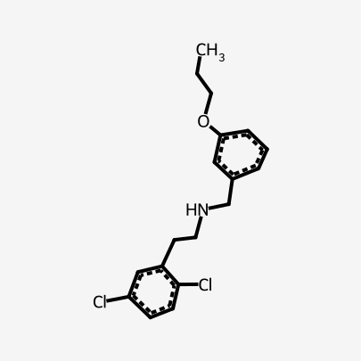 CCCOc1cccc(CNCCc2cc(Cl)ccc2Cl)c1